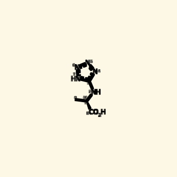 C[C@@H](Nc1nnn[nH]1)C(=O)O